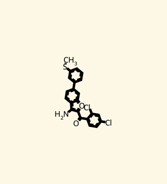 CSc1cccc(-c2ccc3c(N)c(C(=O)c4ccc(Cl)cc4Cl)oc3c2)c1